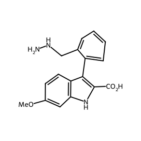 COc1ccc2c(-c3ccccc3CNN)c(C(=O)O)[nH]c2c1